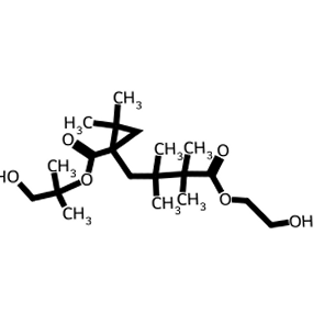 CC(C)(CO)OC(=O)C1(CC(C)(C)C(C)(C)C(=O)OCCO)CC1(C)C